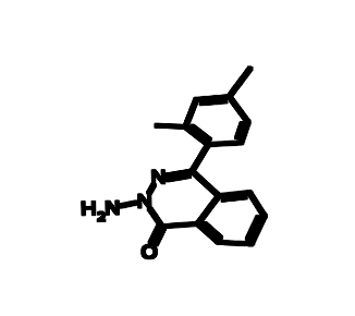 Cc1ccc(-c2nn(N)c(=O)c3ccccc23)c(C)c1